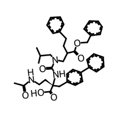 CC(=O)NCC[C@](Cc1ccc(-c2ccccc2)cc1)(NC(=O)N(CC(C)C)CC(CCc1ccccc1)C(=O)OCc1ccccc1)C(=O)O